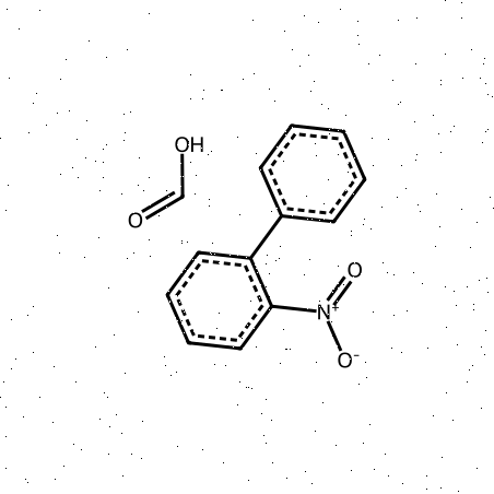 O=CO.O=[N+]([O-])c1ccccc1-c1ccccc1